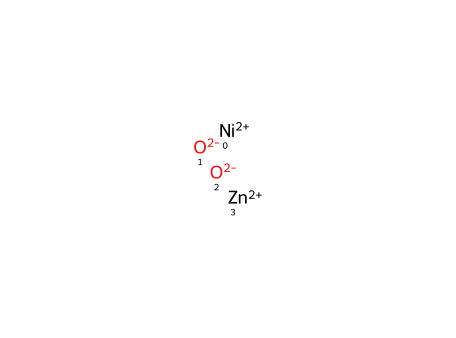 [Ni+2].[O-2].[O-2].[Zn+2]